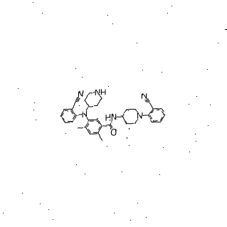 Cc1cc(C)c(N(c2ccccc2C#N)C2CCNCC2)cc1C(=O)NC1CCN(c2ccccc2C#N)CC1